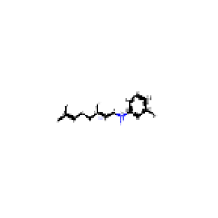 CC(C)=CCC/C(C)=C/CNc1cccc(C)c1